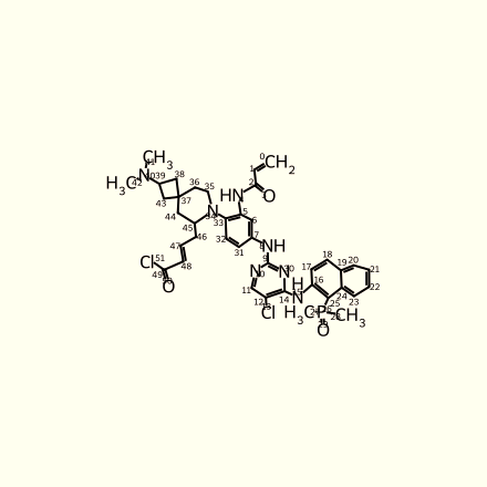 C=CC(=O)Nc1cc(Nc2ncc(Cl)c(Nc3ccc4ccccc4c3P(C)(C)=O)n2)ccc1N1CCC2(CC(N(C)C)C2)CC1C/C=C/C(=O)Cl